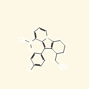 C[S+]([O-])c1cccn2c3c(c(-c4ccc(Cl)cc4)c12)C(CC(=O)O)CCC3